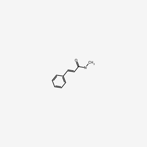 C[N]C(=O)C=Cc1ccccc1